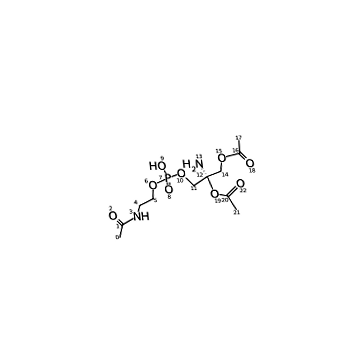 CC(=O)NCCOP(=O)(O)OC[C@@](N)(COC(C)=O)OC(C)=O